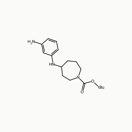 CC(C)(C)OC(=O)N1CCCC(Nc2cccc(N)c2)CC1